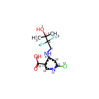 CC(C)(O)C(F)(F)CNc1cc(Cl)ncc1C(=O)O